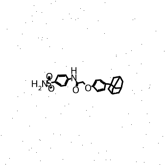 NS(=O)(=O)c1ccc(NC(=O)COc2ccc(C34CC5CC(CC(C5)C3)C4)cc2)cc1